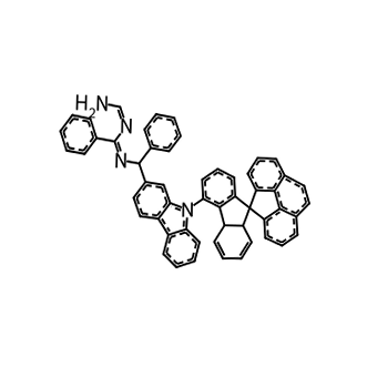 N/C=N\C(=N/C(c1ccccc1)c1ccc2c3ccccc3n(-c3cccc4c3C3C=CC=CC3C43c4cccc5ccc6cccc3c6c45)c2c1)c1ccccc1